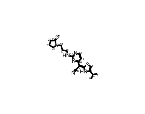 CC(C)C1=CSC(=C(C#N)c2ccnc(NCCCN3CCCC3=O)n2)N1